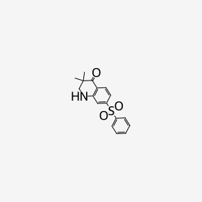 CC1(C)CNc2cc(S(=O)(=O)c3ccccc3)ccc2C1=O